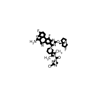 C[C@H]1N(C(=O)n2cnc(Cl)n2)[C@H](C)C12CCCN(c1nc(OC[C@@]34CCCN3C[C@H](F)C4)nc3c(F)c(-c4ccc(F)c5sc(N)c(C#N)c45)c(Cl)cc13)C2